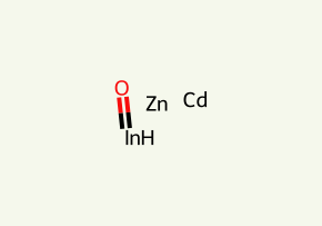 [Cd].[O]=[InH].[Zn]